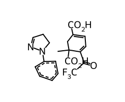 C1=NN(c2ccccc2)CC1.CC1(C(=O)O)CC(C(=O)O)=CC=C1C(=O)C(F)(F)F